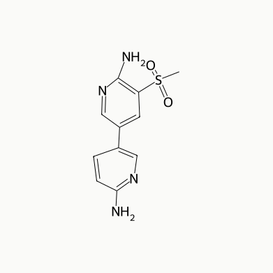 CS(=O)(=O)c1cc(-c2ccc(N)nc2)cnc1N